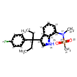 CCC(CC)(c1ccc(F)cc1)c1c[nH]c2c(N(C)S(C)(=O)=O)cccc12